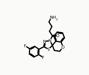 NCCCC(=O)N1N=C(c2cc(F)ccc2F)SC12CCOc1ccccc12